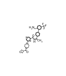 C[C@@H](NC(=O)c1cncc(N2CCN(C(=O)C3COC3)CC2)n1)c1ccc(-c2cc(C(F)(F)F)ccc2CN)cc1